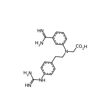 N=C(N)Nc1ccc(CCN(CC(=O)O)c2cccc(C(=N)N)c2)cc1